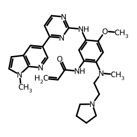 C=CC(=O)Nc1cc(Nc2nccc(-c3cnc4c(ccn4C)c3)n2)c(OC)cc1N(C)CCN1CCCC1